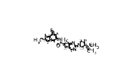 Cc1cn2cc(NC(=O)c3cc4cnc(N5CC[C@H](N(C)C)C5)nc4s3)cc(F)c2n1